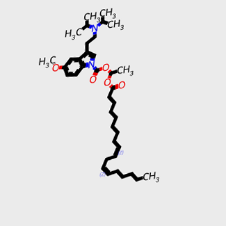 CCCCC/C=C\C/C=C\CCCCCCCC(=O)OC(C)OC(=O)n1cc(CCN(C(C)C)C(C)C)c2cc(OC)ccc21